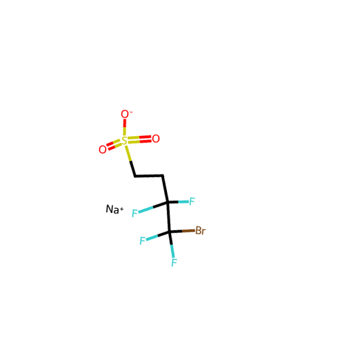 O=S(=O)([O-])CCC(F)(F)C(F)(F)Br.[Na+]